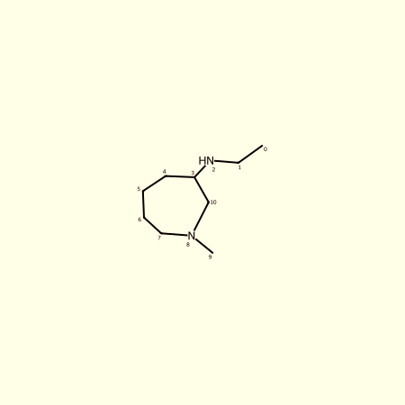 CCNC1CCCCN(C)C1